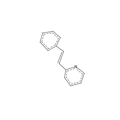 [c]1ccc(C=Cc2ccccn2)cc1